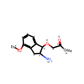 CCOc1cccc2c1CC(N)C2OCC(=O)OC